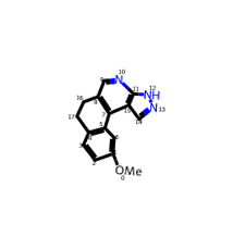 COc1ccc2c(c1)-c1c(cnc3[nH]ncc13)CC2